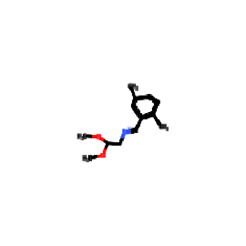 COC(C/N=C/c1cc(C)ccc1C)OC